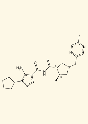 C=C(NC(=O)c1cnn(C2CCCC2)c1N)[C@@H]1CN(Cc2cnc(C)cn2)C[C@H]1C